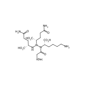 CCCCCCCCCCCC(=O)N([C@@H](CCCCN)C(=O)O)N(N[C@@H](CCC(N)=O)C(=O)O)[C@@H](CCC(N)=O)C(=O)O